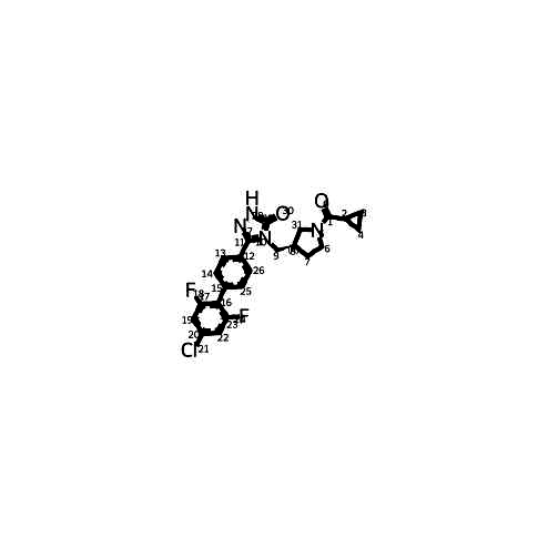 O=C(C1CC1)N1CC[C@@H](Cn2c(-c3ccc(-c4c(F)cc(Cl)cc4F)cc3)n[nH]c2=O)C1